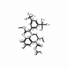 CC[C@@H]1CN([C@@H](C(=O)OC)c2cc(C(F)(F)F)cc(C(F)(F)F)c2)c2cc(C)c(C)cc2N1C(=O)OC(C)C